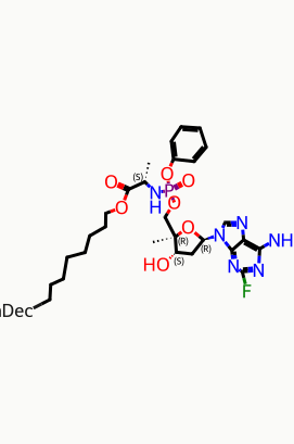 CCCCCCCCCCCCCCCCCCOC(=O)[C@H](C)NP(=O)(OC[C@@]1(C)O[C@@H](n2cnc3c(N)nc(F)nc32)C[C@@H]1O)Oc1ccccc1